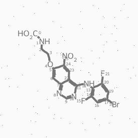 O=C(O)NCCOc1cc2ncnc(Nc3c(F)cc(Br)cc3F)c2cc1[N+](=O)[O-]